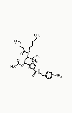 CCCCCCN(C(=O)CCCC)C(CC(OC(C)=O)c1nc(C(=O)NSc2ccc(N)cc2)cs1)C(C)C